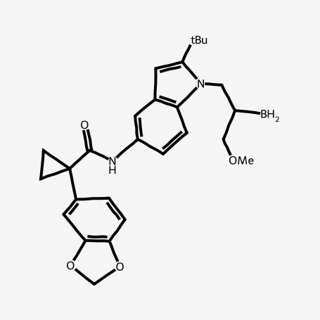 BC(COC)Cn1c(C(C)(C)C)cc2cc(NC(=O)C3(c4ccc5c(c4)OCO5)CC3)ccc21